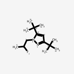 CC(F)Cn1nc(C(C)(C)C)cc1C(C)(C)C